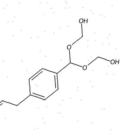 C=CCc1ccc(C(OCO)OCO)cc1